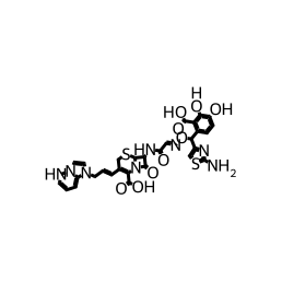 Nc1nc(C(ON=CC(=O)NC2C(=O)N3C(C(=O)O)=C(/C=C/CN4C=CN5NC=CC=C45)CSC23)c2ccc(O)c(O)c2C(=O)O)cs1